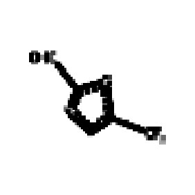 O=Cc1ncc(C(F)(F)F)o1